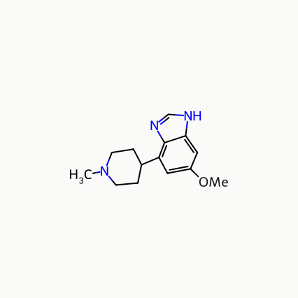 COc1cc(C2CCN(C)CC2)c2nc[nH]c2c1